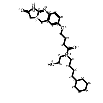 O=C1CN2Cc3cc(OCCCC(=O)N(CCO)CCCCC4CCCCC4)ccc3N=C2N1